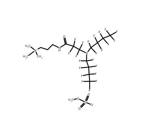 COS(=O)(=O)[O-].C[N+](C)(C)CCCNC(=O)C(F)(F)C(F)(F)N(C(F)(F)C(F)(F)C(F)(F)C(F)(F)F)C(F)(F)C(F)(F)C(F)(F)C(F)(F)F